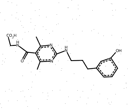 Cc1nc(NCCCc2cccc(O)c2)nc(C)c1C(=O)NCC(=O)O